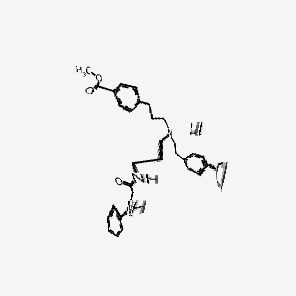 COC(=O)c1ccc(CCCN(CCCNC(=O)Nc2ccccc2)CCc2ccc(Cl)cc2)cc1.I